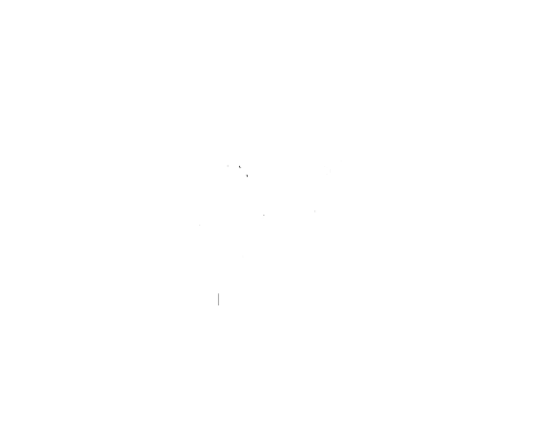 CC(C)(I)c1cscn1